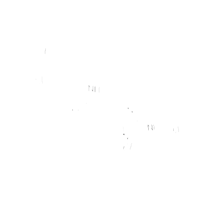 O=C(Nc1ccc(F)c(Cl)c1)C1=CCC2NC(Nc3c(Cl)cccc3Cl)=NC2=C1